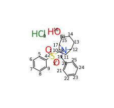 Cl.O=S(=O)(c1ccccc1)C1CC2CC[C@@H](O)C1N2Cc1ccccc1